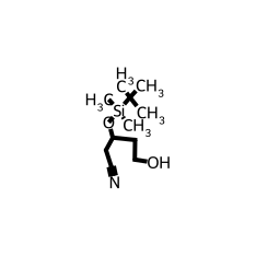 CC(C)(C)[Si](C)(C)OC(CC#N)CCO